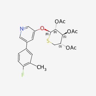 CC(=O)O[C@@H]1[C@@H](OC(C)=O)[C@H](OC(C)=O)CS[C@H]1Oc1cncc(-c2ccc(F)c(C)c2)c1